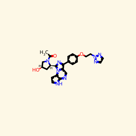 CC(=O)N1C[C@H](O)C[C@@H]1c1nc(-c2ccc(OCCn3nccn3)cc2)c2cnc3[nH]ccc3n12